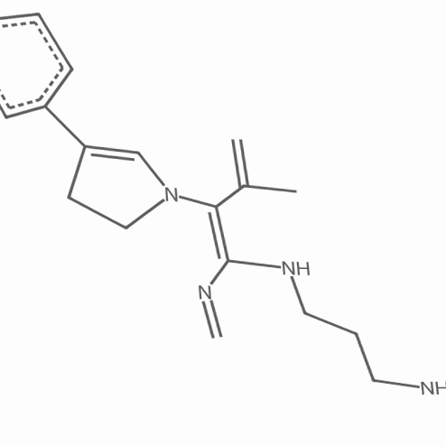 C=N/C(NCCCN)=C(/C(=C)C)N1C=C(c2ccccc2)CC1